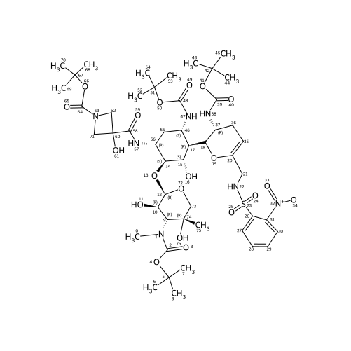 CN(C(=O)OC(C)(C)C)[C@@H]1[C@@H](O)[C@@H](O[C@@H]2[C@@H](O)[C@H](C3OC(CNS(=O)(=O)c4ccccc4[N+](=O)[O-])=CC[C@H]3NC(=O)OC(C)(C)C)[C@@H](NC(=O)OC(C)(C)C)C[C@H]2NC(=O)C2(O)CN(C(=O)OC(C)(C)C)C2)OC[C@]1(C)O